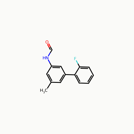 Cc1cc(NC=O)cc(-c2ccccc2F)c1